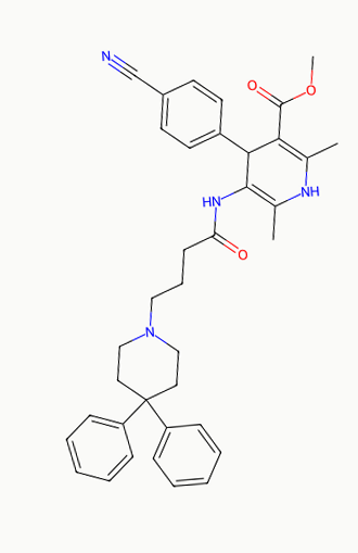 COC(=O)C1=C(C)NC(C)=C(NC(=O)CCCN2CCC(c3ccccc3)(c3ccccc3)CC2)C1c1ccc(C#N)cc1